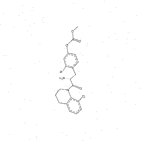 COC(=O)Oc1ccc(C[C@@H](N)C(=O)N2CCCc3cccc(Cl)c32)c(Br)c1